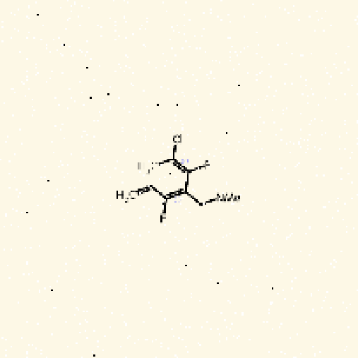 C=C/C(F)=C(CNC)\C(F)=C(/C)Cl